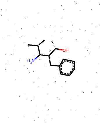 C[C](C)C(N)C(Cc1ccccc1)[C@H](C)O